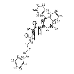 C[C@H](NC(=O)CCCCCc1ccccc1)C(=O)N[C@@H]1CN(C)c2ccccc2C(c2ccccc2)=N1